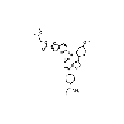 COC1CCC([C@@H]2CCN(C(=O)[C@H]3CC[C@H]([C@H](N)CF)CC3)[C@@H]2C(=O)Nc2ccc3oc(C(=O)OC[C@@H](C)OC)cc3c2)CC1